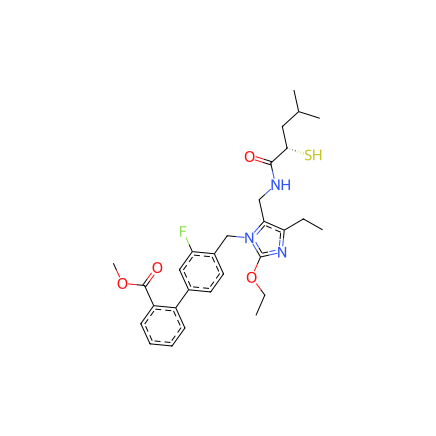 CCOc1nc(CC)c(CNC(=O)[C@@H](S)CC(C)C)n1Cc1ccc(-c2ccccc2C(=O)OC)cc1F